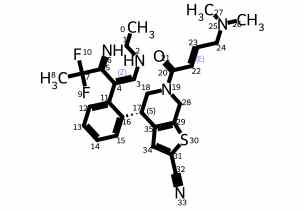 CCN/C=C(\C(=N)C(C)(F)F)c1ccccc1[C@@H]1CN(C(=O)/C=C/CN(C)C)Cc2sc(C#N)cc21